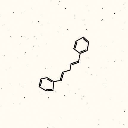 C(=C\c1ccccc1)/C/C=C/c1ccccc1